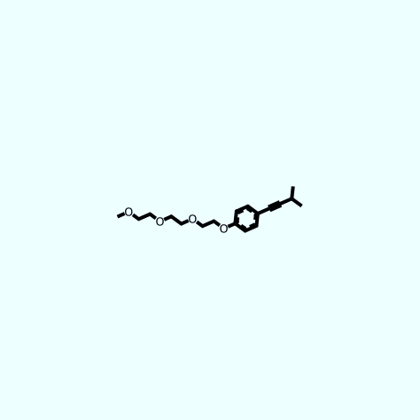 COCCOCCOCCOc1ccc(C#CC(C)C)cc1